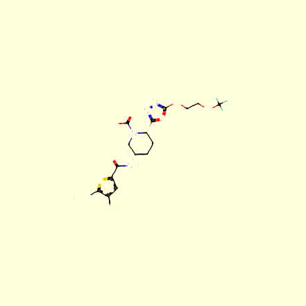 Cc1cc(C(=O)N[C@H]2CC[C@H](c3nnc(OCCOC(F)(F)F)o3)N(C(=O)O)C2)sc1C